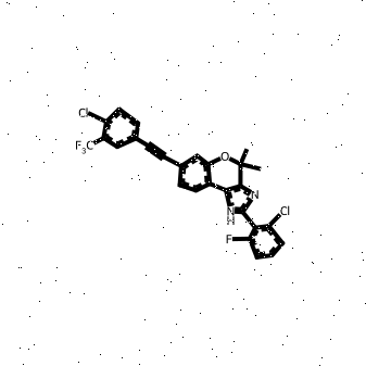 CC1(C)Oc2cc(C#Cc3ccc(Cl)c(C(F)(F)F)c3)ccc2-c2[nH]c(-c3c(F)cccc3Cl)nc21